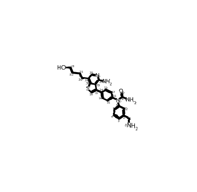 NCc1cccc(N(C(N)=O)c2ccc(-c3csc4c(CCCCO)cnc(N)c34)cc2)c1